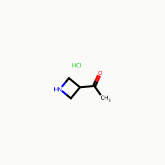 CC(=O)C1CNC1.Cl